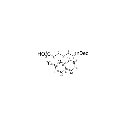 CCCCCCCCCCCCCCCC(=O)O.O=c1ccc2ccccc2o1